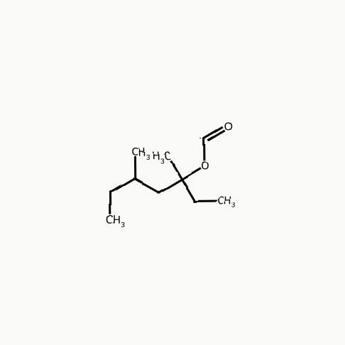 CCC(C)CC(C)(CC)O[C]=O